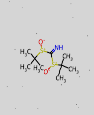 CC(C)(C)[S+]([O-])C(=N)[S+]([O-])C(C)(C)C